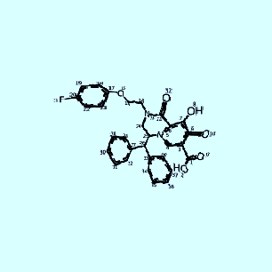 O=C(O)c1cn2c(c(O)c1=O)C(=O)N(CCOc1ccc(F)cc1)CC2C(c1ccccc1)c1ccccc1